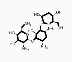 NC[C@H]1O[C@H](OC2[C@@H](N)C[C@@H](N)[C@H](O[C@H]3O[C@H](CO)[C@@H](O)C[C@H]3O)[C@H]2O)[C@H](N)[C@@H](O)[C@@H]1O